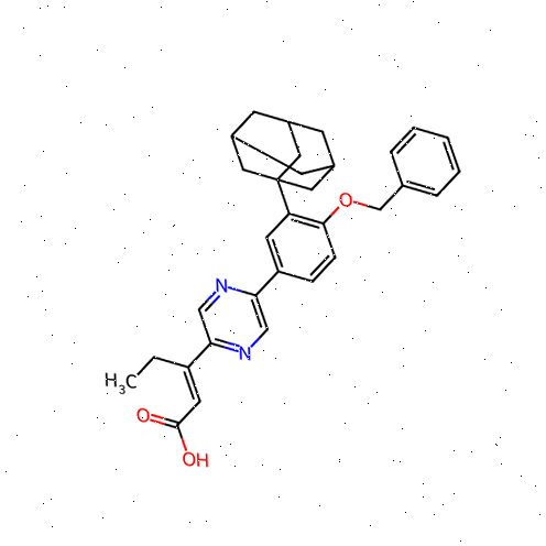 CC/C(=C\C(=O)O)c1cnc(-c2ccc(OCc3ccccc3)c(C34CC5CC(CC(C5)C3)C4)c2)cn1